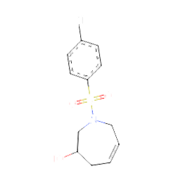 Cc1ccc(S(=O)(=O)N2CC=CCC(O)C2)cc1